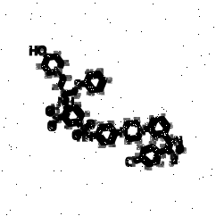 Cn1cnc(-c2cccc(N3CCN(c4ccc(NS(=O)(=O)c5ccc(N[C@H](CCN6CCC(O)CC6)CSc6ccccc6)c([SH](=O)=O)c5)cc4)CC3)c2)c1-c1ccc(Cl)cc1